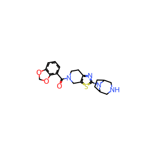 O=C(c1cccc2c1OCO2)N1CCc2nc(N3C4CCC3CNC4)sc2C1